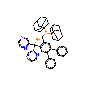 PC(c1cnccn1)(c1cnccn1)c1cc(-c2ccccc2)c(-c2ccccc2)cc1CP(C12CC3CC(CC(C3)C1)C2)C12CC3CC(CC(C3)C1)C2